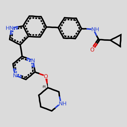 O=C(Nc1ccc(-c2ccc3[nH]cc(-c4cncc(O[C@@H]5CCCNC5)n4)c3c2)cc1)C1CC1